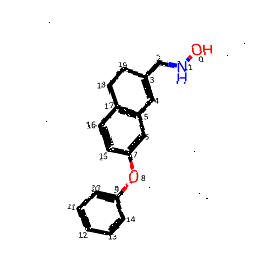 ONCC1=Cc2cc(Oc3ccccc3)ccc2CC1